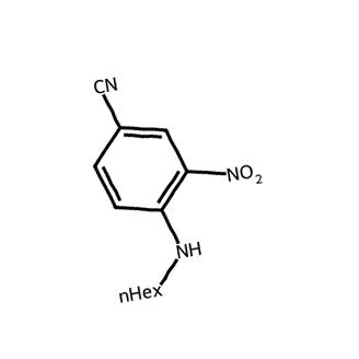 CCCCCCNc1ccc(C#N)cc1[N+](=O)[O-]